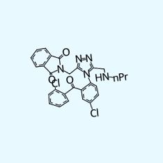 CCCNCc1nnc(CN2C(=O)c3ccccc3C2=O)n1-c1ccc(Cl)cc1C(=O)c1ccccc1Cl